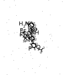 CC(C)COc1cc(F)cc(-c2ccc(C(=O)NS(=O)(=O)c3cccc(N)n3)c(N3CC(C(F)(F)F)CC3(C)C)n2)c1